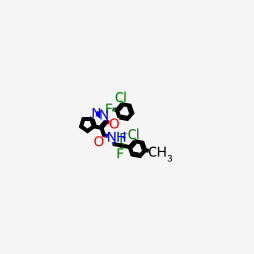 Cc1ccc(C(F)(F)CNC(=O)c2c(Oc3cccc(Cl)c3F)nnc3c2CCC3)c(Cl)c1